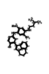 CCc1cnc(Nc2cc(N)c(NCCN(C)C)cc2OC)nc1-c1cn2c3c(cccc13)CCC2